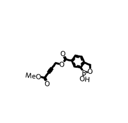 COC(=O)C#CCOC(=O)c1ccc2c(c1)B(O)OC2